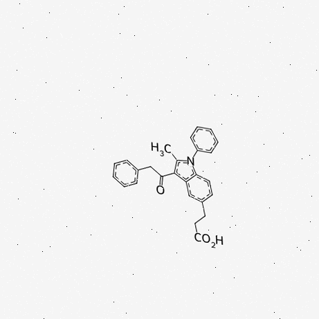 Cc1c(C(=O)Cc2ccccc2)c2cc(CCC(=O)O)ccc2n1-c1ccccc1